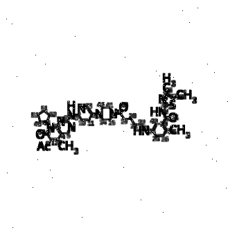 CC(=O)c1c(C)c2cnc(Nc3ccc(N4CCN(C(=O)CCCCNc5ccc(C)c(C(=O)Nc6nc(C)c(C)s6)c5)CC4)cn3)nc2n(C2CCCC2)c1=O